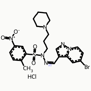 Cc1ccc([N+](=O)[O-])cc1S(=O)(=O)N(CCCN1CCCCC1)/N=C\c1cnn2ccc(Br)cc12.Cl